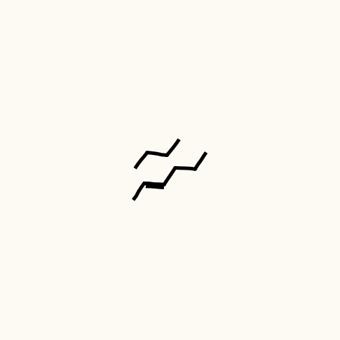 C/C=C/CCC.CCCC